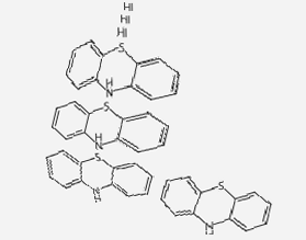 I.I.I.I.c1ccc2c(c1)Nc1ccccc1S2.c1ccc2c(c1)Nc1ccccc1S2.c1ccc2c(c1)Nc1ccccc1S2.c1ccc2c(c1)Nc1ccccc1S2